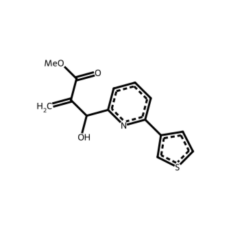 C=C(C(=O)OC)C(O)c1cccc(-c2ccsc2)n1